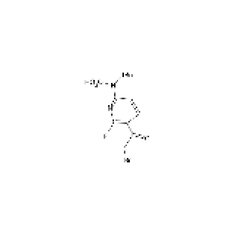 CC(C)(C)N(C(=O)O)c1ccc(C(=O)CBr)c(F)n1